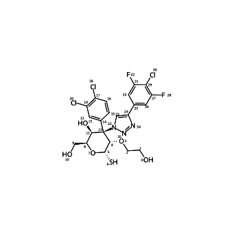 OCCO[C@@H]1[C@H](S)O[C@@H](CO)[C@@H](O)[C@@]1(c1ccc(Cl)c(Cl)c1)n1cc(-c2cc(F)c(Cl)c(F)c2)nn1